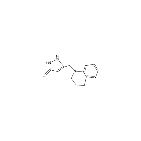 O=c1cc(CN2CCCc3ccccc32)[nH][nH]1